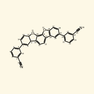 N#Cc1cccc(C2=CC3c4ccc5c(oc6ccc(-c7cccc(C#N)c7)cc65)c4OC3C=C2)c1